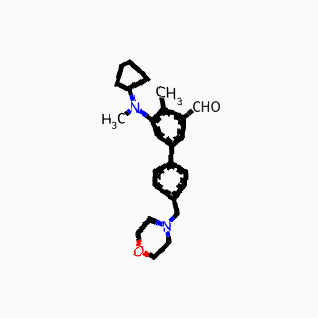 Cc1c(C=O)cc(-c2ccc(CN3CCOCC3)cc2)cc1N(C)C1CCCC1